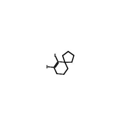 IC1=C(I)C2(CCCC2)CCC1